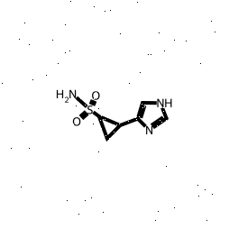 NS(=O)(=O)C1CC1c1c[nH]cn1